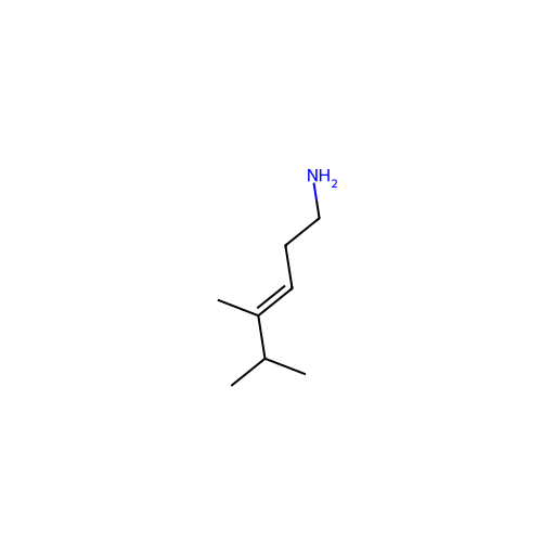 C/C(=C\CCN)C(C)C